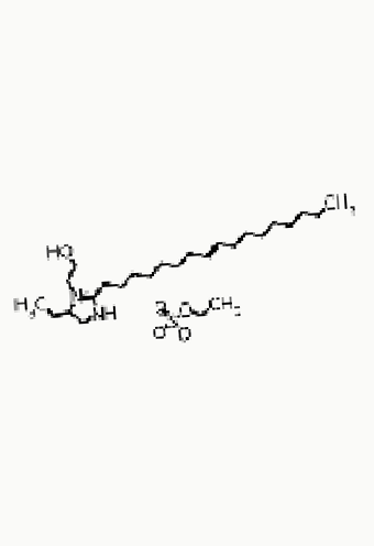 CCCCCCCCC=CCCCCCCCC1=[N+](CCO)C(CC)CN1.CCOS(=O)(=O)[O-]